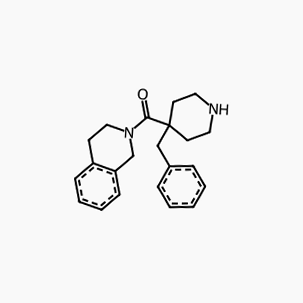 O=C(N1CCc2ccccc2C1)C1(Cc2ccccc2)CCNCC1